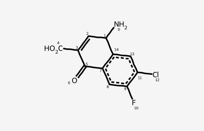 NC1C=C(C(=O)O)C(=O)c2cc(F)c(Cl)cc21